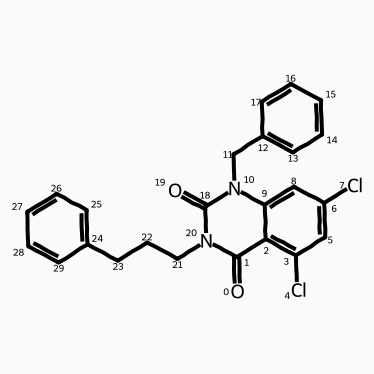 O=c1c2c(Cl)cc(Cl)cc2n(Cc2ccccc2)c(=O)n1CCCc1ccccc1